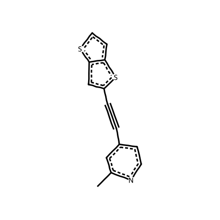 Cc1cc(C#Cc2cc3sccc3s2)ccn1